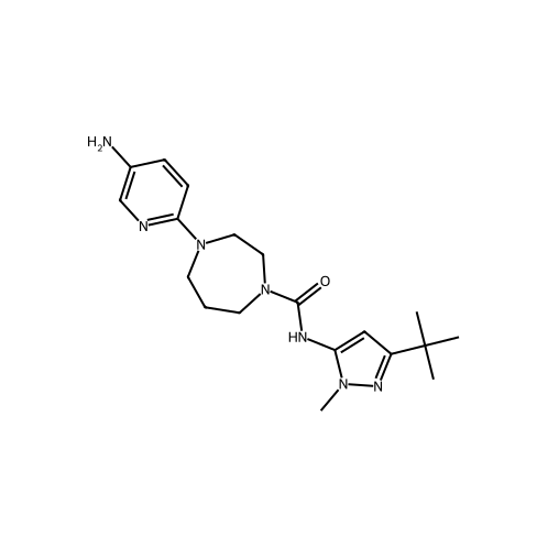 Cn1nc(C(C)(C)C)cc1NC(=O)N1CCCN(c2ccc(N)cn2)CC1